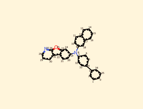 c1ccc(-c2ccc(N(c3ccc4ccccc4c3)c3ccc4c(c3)oc3ncccc34)cc2)cc1